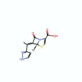 C/C(=C1\C(=O)N2C(C(=O)O)=CS[C@H]12)c1cc[nH]n1